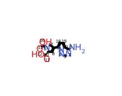 Nc1ncnn2c(C3=C[C@@H](C(=O)O)N(C(=O)O)C3)ccc12